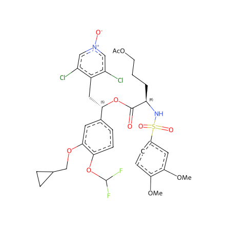 COc1ccc(S(=O)(=O)N[C@H](CCCOC(C)=O)C(=O)O[C@@H](Cc2c(Cl)c[n+]([O-])cc2Cl)c2ccc(OC(F)F)c(OCC3CC3)c2)cc1OC